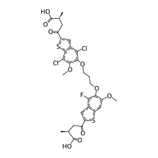 COc1cc2sc(C(=O)C[C@H](C)C(=O)O)cc2c(F)c1OCCCOc1c(OC)c(Cl)c2sc(C(=O)C[C@H](C)C(=O)O)cc2c1Cl